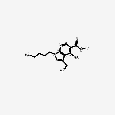 CCCCCn1nc(CC)c2c(N)c(C(=O)NO)cnc21